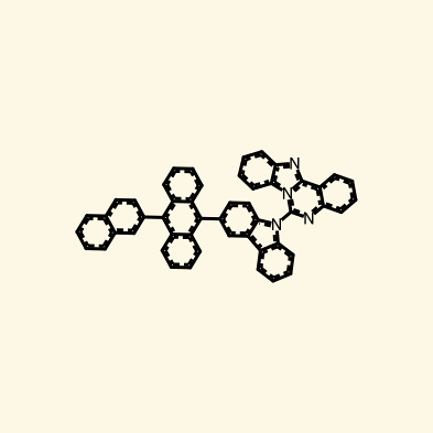 c1ccc2cc(-c3c4ccccc4c(-c4ccc5c(c4)c4ccccc4n5-c4nc5ccccc5c5nc6ccccc6n45)c4ccccc34)ccc2c1